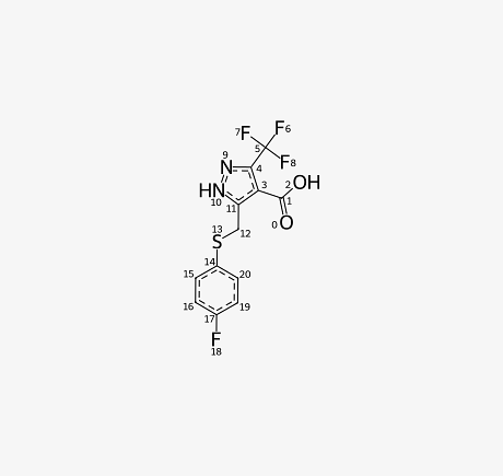 O=C(O)c1c(C(F)(F)F)n[nH]c1CSc1ccc(F)cc1